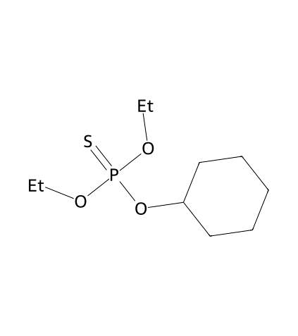 CCOP(=S)(OCC)OC1CCCCC1